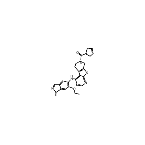 CCOc1cc2[nH]ncc2cc1Nc1ncnc2sc3c(c12)CC[C@H](C(=O)N1CC=CC1)C3